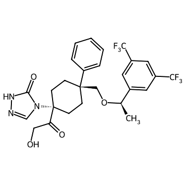 C[C@@H](OC[C@]1(c2ccccc2)CC[C@@](C(=O)CO)(n2cn[nH]c2=O)CC1)c1cc(C(F)(F)F)cc(C(F)(F)F)c1